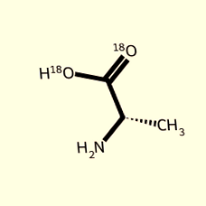 C[C@H](N)C(=[18O])[18OH]